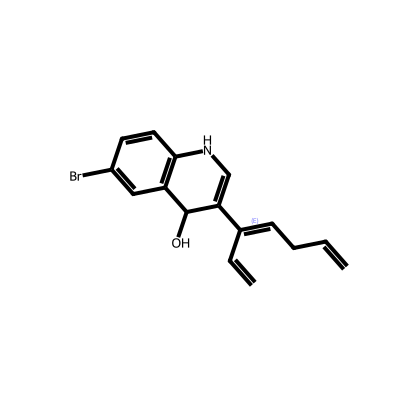 C=CC/C=C(\C=C)C1=CNc2ccc(Br)cc2C1O